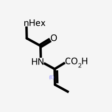 C/C=C(/NC(=O)CCCCCCC)C(=O)O